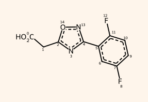 O=C(O)Cc1nc(-c2cc(F)ccc2F)no1